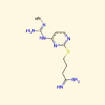 CCCN=C(N)Nc1ccnc(SCCCC(=N)N)n1